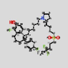 O=S(=O)(CCCC[C@@H]1CCCN1CCCCCCC1=C(c2ccc(F)cc2)CCCc2c1ccc(O)c2F)CCCC(F)(F)C(F)(F)F